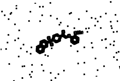 COc1ccccc1OCC(=O)N1CCN(S(=O)(=O)c2ccc3ccccc3c2)CC1